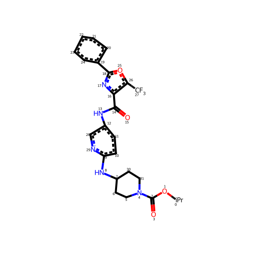 CC(C)OC(=O)N1CCC(Nc2ccc(NC(=O)c3nc(-c4ccccc4)oc3C(F)(F)F)cn2)CC1